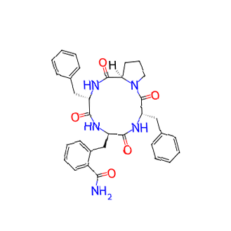 NC(=O)c1ccccc1C[C@H]1NC(=O)[C@H](Cc2ccccc2)NC(=O)[C@H]2CCCN2C(=O)[C@H](Cc2ccccc2)NC1=O